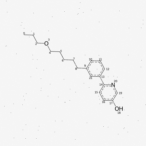 CCCOCCCCCc1cccc(-c2ccc(O)cn2)c1